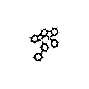 O=P1(c2ccccc2)c2ccccc2-c2ccc3c4ccccc4n(-c4cccc(-c5ccccc5)c4)c3c21